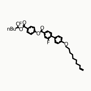 C=CCCCCCCCCOc1ccc(-c2ccc(C(=O)Oc3ccc(C(=O)OC(CCCC)C(F)(F)F)cc3)cc2F)cc1